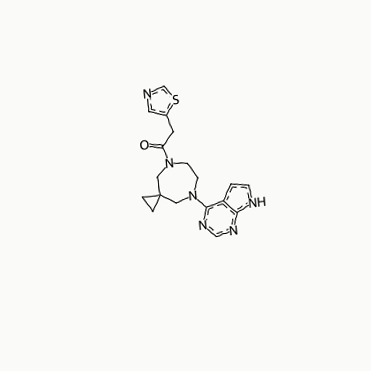 O=C(Cc1cncs1)N1CCN(c2ncnc3[nH]ccc23)CC2(CC2)C1